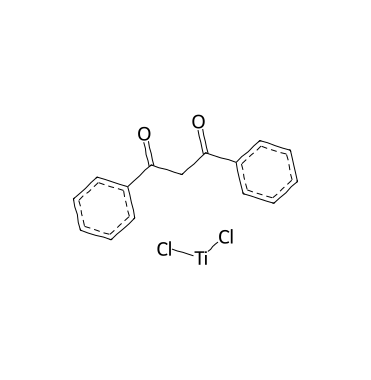 O=C(CC(=O)c1ccccc1)c1ccccc1.[Cl][Ti][Cl]